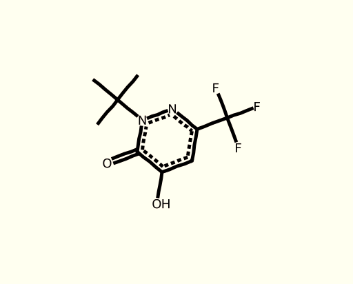 CC(C)(C)n1nc(C(F)(F)F)cc(O)c1=O